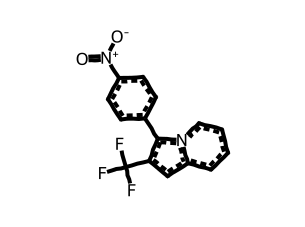 O=[N+]([O-])c1ccc(-c2c(C(F)(F)F)cc3ccccn23)cc1